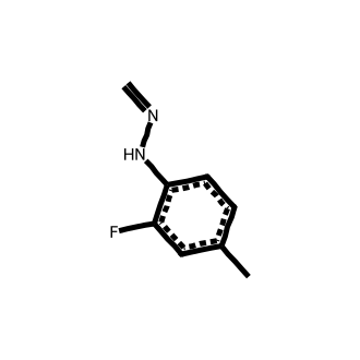 C=NNc1ccc(C)cc1F